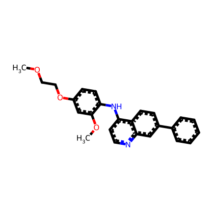 COCCOc1ccc(Nc2ccnc3cc(-c4ccccc4)ccc23)c(OC)c1